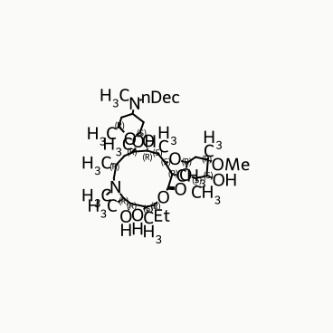 CCCCCCCCCCN(C)C1C[C@H](O[C@@H]2[C@@H](C)[C@H](O[C@H]3C[C@@](C)(OC)[C@@H](O)[C@H](C)O3)[C@@H](C)C(=O)O[C@H](CC)[C@@](C)(O)[C@H](O)[C@@H](C)N(C)C[C@H](C)C[C@@]2(C)O)O[C@H](C)C1